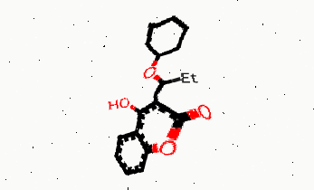 CCC(OC1CCCCC1)c1c(O)c2ccccc2oc1=O